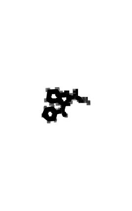 CN(c1ccccc1)c1nc(NN)nc2ccccc12